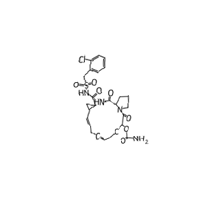 NC(=O)OC1CCCCC/C=C/C2CC2(C(=O)NS(=O)(=O)Cc2ccccc2Cl)NC(=O)C2CCCN2C1=O